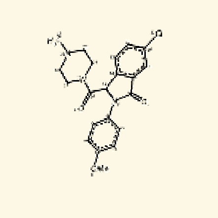 COc1ccc(N2C(=O)c3cc(Cl)ccc3C2C(=O)N2CCN(C)CC2)cc1